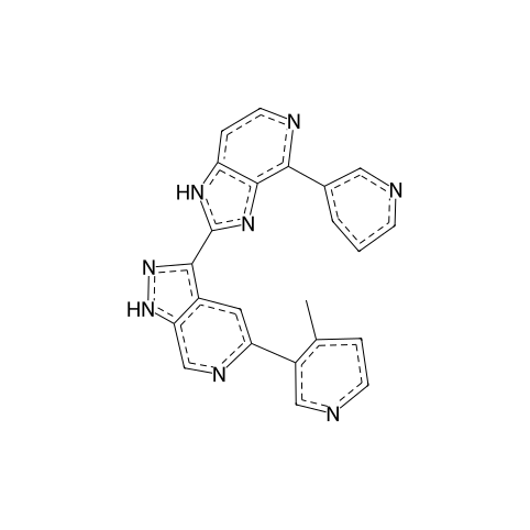 Cc1ccncc1-c1cc2c(-c3nc4c(-c5cccnc5)nccc4[nH]3)n[nH]c2cn1